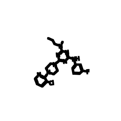 CCCN(C)c1nc(Nc2cccc(F)c2)nc(N2CCN(c3ncccc3Cl)CC2)n1